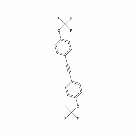 FC(F)(F)Oc1ccc(C#Cc2ccc(OC(F)(F)F)cc2)cc1